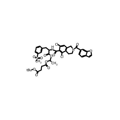 CC(OC(=O)CCC(=O)OC(C)(C)C)OC(=O)C(Cc1cccc(S(C)(=O)=O)c1)NC(=O)c1c(Cl)cc2c(c1Cl)CCN(C(=O)c1ccc3ccoc3c1)C2